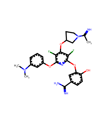 CC(=N)N1CCC(Oc2c(F)c(Oc3cccc(N(C)C)c3)nc(Oc3cc(C(=N)N)ccc3O)c2F)C1